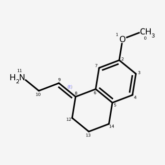 COc1ccc2c(c1)/C(=C/CN)CCC2